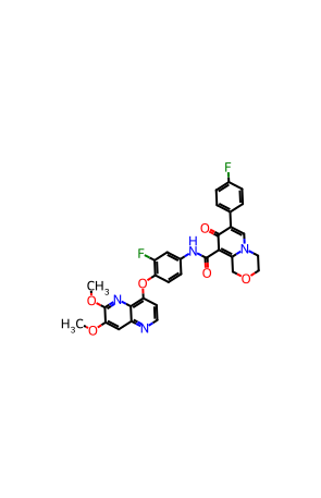 COc1cc2nccc(Oc3ccc(NC(=O)c4c5n(cc(-c6ccc(F)cc6)c4=O)CCOC5)cc3F)c2nc1OC